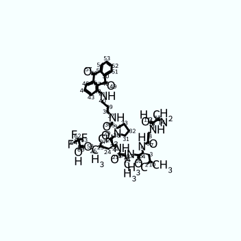 CC(C)C[C@H](NC(=O)CNC(=O)[C@H](C)N)C(=O)N[C@@H](C)C(=O)N[C@@H](CC(C)C)C(=O)N1CCC[C@H]1C(=O)NCCCNc1cccc2c1C(=O)c1ccccc1C2=O.O=C(O)C(F)(F)F